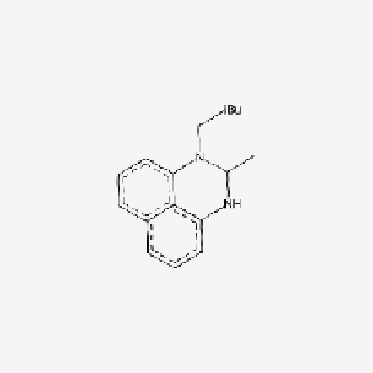 CCC(C)CN1c2cccc3cccc(c23)NC1C